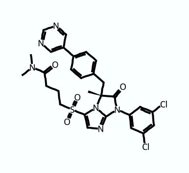 CN(C)C(=O)CCCS(=O)(=O)c1cnc2n1[C@](C)(Cc1ccc(-c3cncnc3)cc1)C(=O)N2c1cc(Cl)cc(Cl)c1